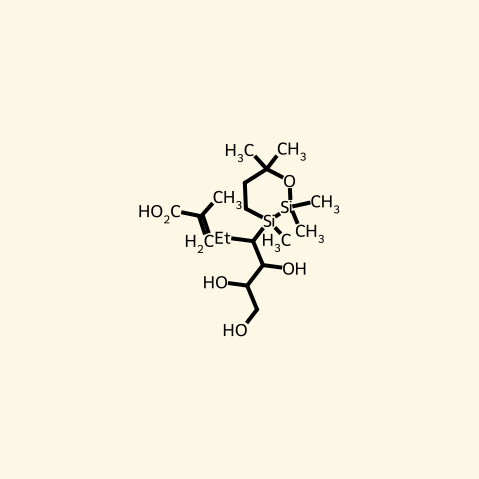 C=C(C)C(=O)O.CCC(C(O)C(O)CO)[Si]1(C)CCC(C)(C)O[Si]1(C)C